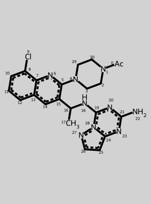 CC(=O)N1CCN(c2nc3c(Cl)cccc3cc2C(C)Nc2nc(N)nc3ccnn23)CC1